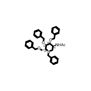 CC(=O)N[C@H]1CN(Cc2ccccc2)[C@H](COCc2ccccc2)[C@H](OCc2ccccc2)[C@@H]1OCc1ccccc1